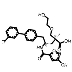 C[C@@](COCCO)(C[C@@H](Cc1ccc(-c2cccc(Cl)c2)cc1)NC(=O)c1cc(O)no1)C(=O)O